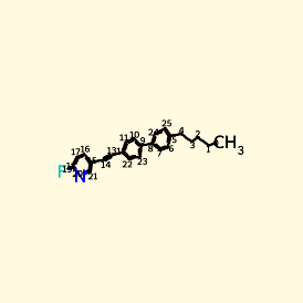 CCCCCc1ccc(-c2ccc(C#Cc3ccc(F)nc3)cc2)cc1